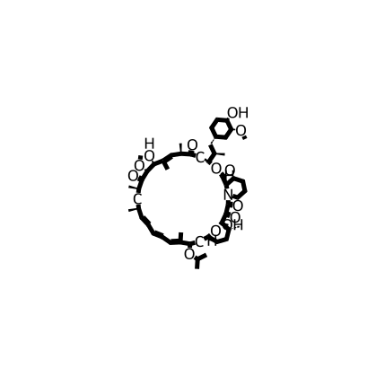 CO[C@@H]1C[C@H](C[C@@H](C)[C@@H]2CC(=O)[C@H](C)/C=C(\C)[C@@H](O)[C@@H](OC)C(=O)[C@H](C)C[C@H](C)/C=C/C=C/C=C(\C)C(OC(C)C)C[C@@H]3CC[C@@H](C)[C@@](O)(O3)C(=O)C(=O)N3CCCC[C@H]3C(=O)O2)CC[C@H]1O